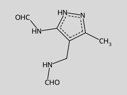 Cc1n[nH]c(NC=O)c1CNC=O